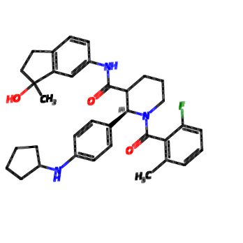 Cc1cccc(F)c1C(=O)N1CCCC(C(=O)Nc2ccc3c(c2)C(C)(O)CC3)[C@@H]1c1ccc(NC2CCCC2)cc1